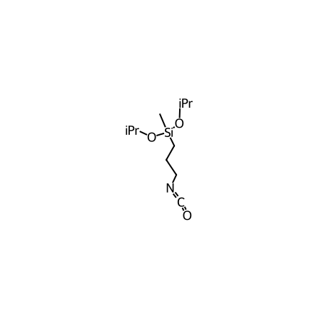 CC(C)O[Si](C)(CCCN=C=O)OC(C)C